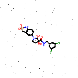 O=C(NCc1cc(F)cc(Cl)c1)C1(O)CCN(c2ccc3c(c2)CS(=O)(=O)N3)C1O